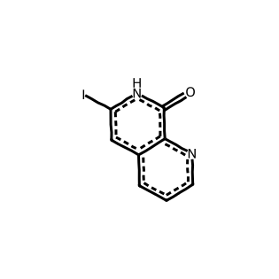 O=c1[nH]c(I)cc2cccnc12